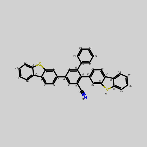 N#Cc1cc(-c2ccc3c(c2)sc2ccccc23)cc(-c2ccccc2)c1-c1ccc2c(c1)sc1ccccc12